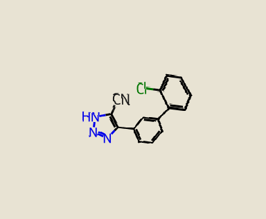 N#Cc1[nH]nnc1-c1cccc(-c2ccccc2Cl)c1